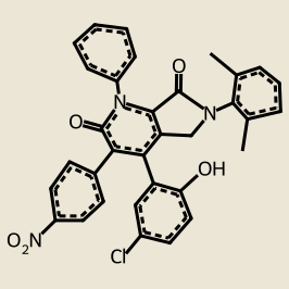 Cc1cccc(C)c1N1Cc2c(-c3cc(Cl)ccc3O)c(-c3ccc([N+](=O)[O-])cc3)c(=O)n(-c3ccccc3)c2C1=O